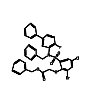 O=C(COc1c(Br)cc(Cl)cc1S(=O)(=O)N(Cc1ccccc1)c1cc(-c2ccccc2)ccc1F)OCc1ccccc1